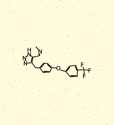 C/N=C\c1[nH]nnc1Cc1ccc(OCc2ccc(C(F)(F)F)cc2)cc1